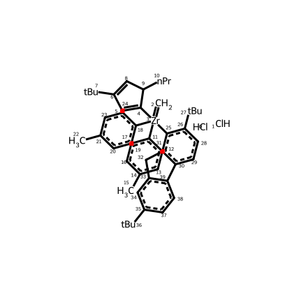 Cl.Cl.[CH2]=[Zr]([C]1=CC(C(C)(C)C)=CC1CCC)([c]1ccc(C)cc1)([c]1ccc(C)cc1)[c]1c(C(C)(C)C)ccc2c1Cc1cc(C(C)(C)C)ccc1-2